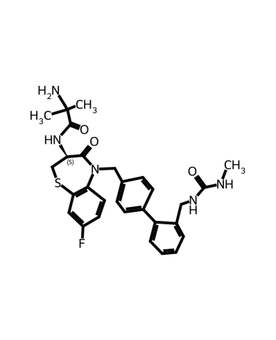 CNC(=O)NCc1ccccc1-c1ccc(CN2C(=O)[C@H](NC(=O)C(C)(C)N)CSc3cc(F)ccc32)cc1